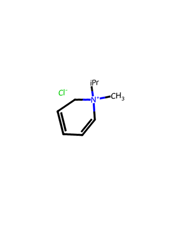 CC(C)[N+]1(C)C=CC=CC1.[Cl-]